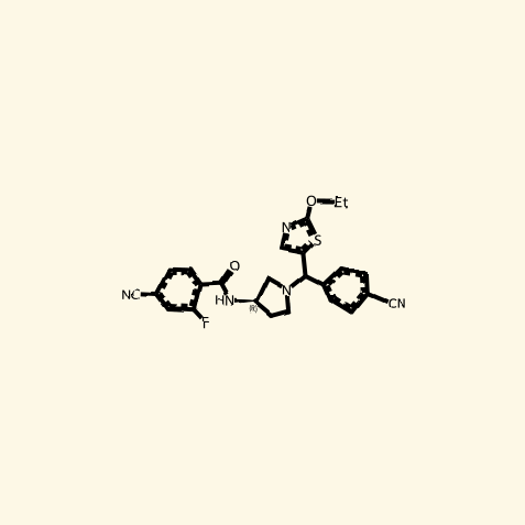 CCOc1ncc(C(c2ccc(C#N)cc2)N2CC[C@@H](NC(=O)c3ccc(C#N)cc3F)C2)s1